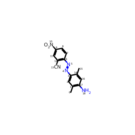 Cc1cc(N=Nc2ccc([N+](=O)[O-])cc2C#N)c(C)cc1N